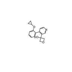 OC1(c2cnccc2-c2ccccc2OC2CC2)COC1